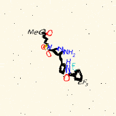 COC(=O)CCCCS(C)(=O)=NC(=O)c1cnc(N)c(C#Cc2cccc(NC(=O)c3cc(C(F)(F)F)ccc3F)c2)c1